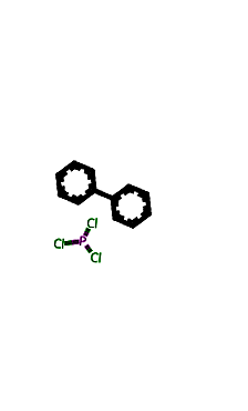 ClP(Cl)Cl.c1ccc(-c2ccccc2)cc1